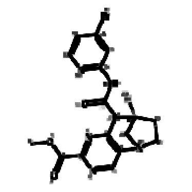 COC(=O)c1ncc2c(n1)N(C(=O)Nc1cc(Br)ccn1)[C@H]1CCN2C1